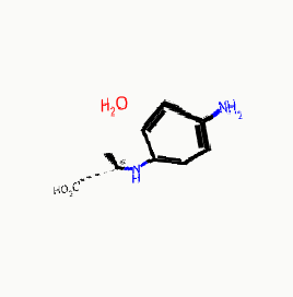 C[C@H](Nc1ccc(N)cc1)C(=O)O.O